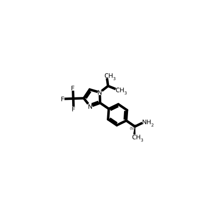 CC(C)n1cc(C(F)(F)F)nc1-c1ccc([C@H](C)N)cc1